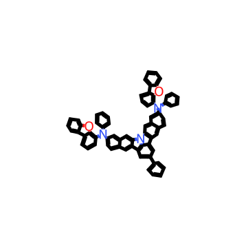 c1ccc(-c2cc3c4cc5ccc(N(c6ccccc6)c6cccc7c6oc6ccccc67)cc5cc4n4c5cc6cc(N(c7ccccc7)c7cccc8c7oc7ccccc78)ccc6cc5c(c2)c34)cc1